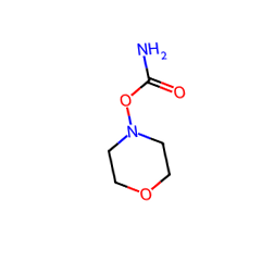 NC(=O)ON1CCOCC1